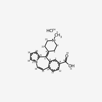 CN1CCC(=C2c3cc(C(=O)O)ccc3C=Cn3cccc32)CC1.Cl